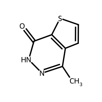 Cc1n[nH]c(=O)c2sccc12